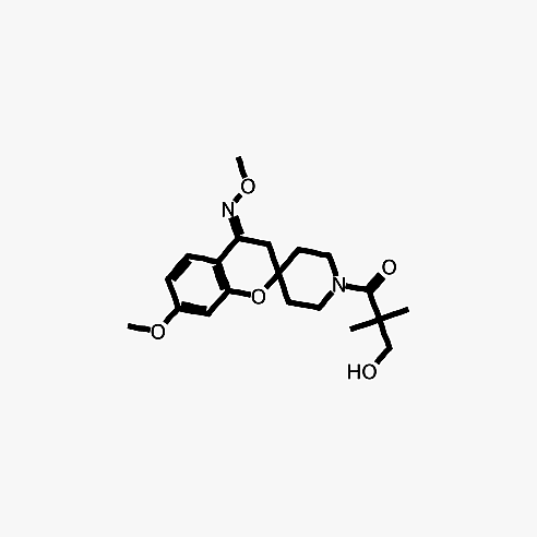 CON=C1CC2(CCN(C(=O)C(C)(C)CO)CC2)Oc2cc(OC)ccc21